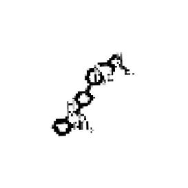 CCn1ncc(CN2CCC(c3ccc(C(=O)Nc4ccccc4N)cc3)CC2)c1C